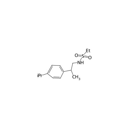 CCS(=O)(=O)NCC(C)c1ccc(C(C)C)cc1